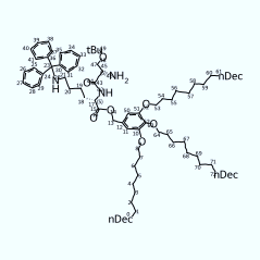 CCCCCCCCCCCCCCCCCCOc1cc(COC(=O)[C@H](CCCCNC(c2ccccc2)(c2ccccc2)c2ccccc2)NC(=O)[C@@H](N)COC(C)(C)C)cc(OCCCCCCCCCCCCCCCCCC)c1OCCCCCCCCCCCCCCCCCC